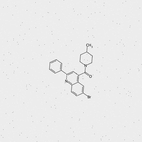 CC1CCN(C(=O)c2cc(-c3ccccc3)nc3ccc(Br)cc23)CC1